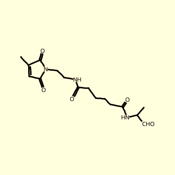 CC1=CC(=O)N(CCNC(=O)CCCCC(=O)NC(C)C=O)C1=O